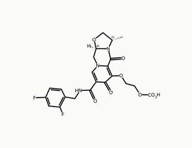 C[C@H]1CO[C@@H]2Cn3cc(C(=O)NCc4ccc(F)cc4F)c(=O)c(OCCOC(=O)O)c3C(=O)N12